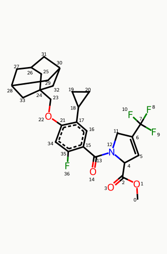 COC(=O)C1C=C(C(F)(F)F)CN1C(=O)c1cc(C2CC2)c(OCC23CC4CC(CC(C4)C2)C3)cc1F